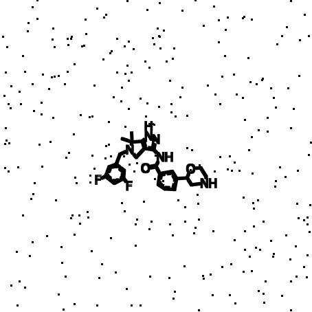 CC1(C)c2[nH]nc(NC(=O)c3cccc(C4CNCCO4)c3)c2CN1Cc1cc(F)cc(F)c1